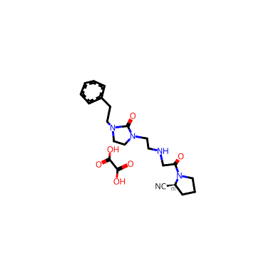 N#C[C@@H]1CCCN1C(=O)CNCCN1CCN(CCc2ccccc2)C1=O.O=C(O)C(=O)O